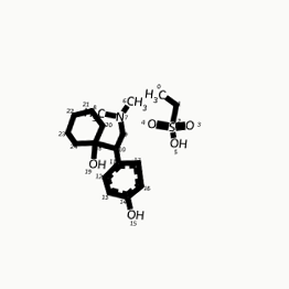 CCS(=O)(=O)O.CN(C)CC(c1ccc(O)cc1)C1(O)CCCCC1